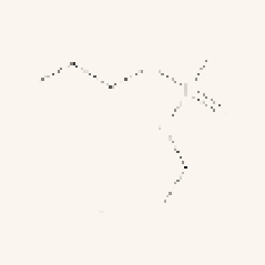 CCCSP([O-])(=S)OCC.[K+]